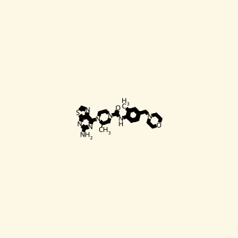 Cc1cc(CN2CCOCC2)ccc1NC(=O)N1CCN(c2nc(N)nc3scnc23)[C@@H](C)C1